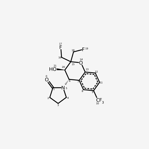 O=C1CCCN1[C@H]1c2cc(C(F)(F)F)ccc2OC(CF)(CF)[C@@H]1O